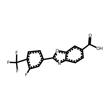 O=C(O)c1ccc2nc(-c3ccc(C(F)(F)F)c(F)c3)oc2c1